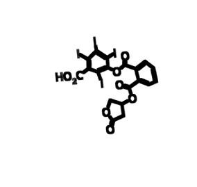 O=C1CC(OC(=O)c2ccccc2C(=O)Oc2c(I)c(I)c(I)c(C(=O)O)c2I)CO1